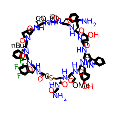 CCCC[C@H]1C(=O)N2CCC[C@@H]2C(=O)N[C@@H](CC(=O)O)C(=O)N[C@@H](C(C)C)C(=O)N(C)[C@@H](Cc2ccccc2)C(=O)N[C@@H](CCCN)C(=O)N2C[C@H](O)C[C@@H]2C(=O)N[C@@H](Cc2c[nH]c3ccccc23)C(=O)N[C@@H](Cc2ccc(O)cc2)C(=O)N[C@@H](CCOC)C(=O)N[C@H](C(=O)NCC(N)=O)CSCC(=O)N[C@@H](Cc2cc(F)c(F)c(F)c2)C(=O)N(C)[C@@H](Cc2ccccc2)C(=O)N1C